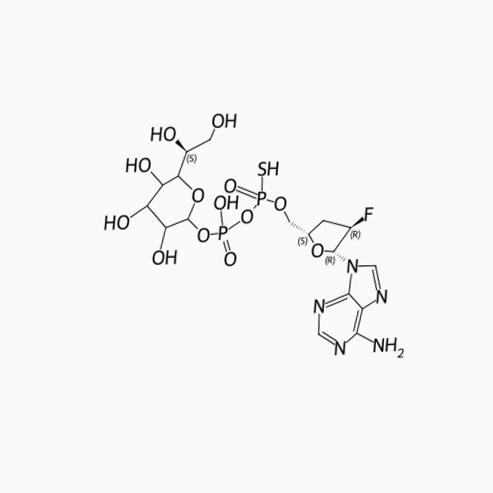 Nc1ncnc2c1ncn2[C@@H]1O[C@H](COP(=O)(S)OP(=O)(O)OC2OC([C@@H](O)CO)C(O)C(O)C2O)C[C@H]1F